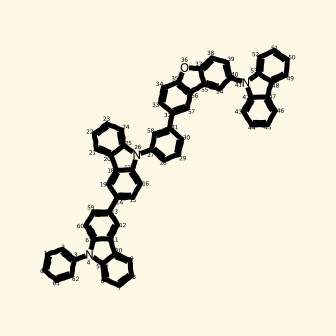 c1ccc(-n2c3ccccc3c3cc(-c4ccc5c(c4)c4ccccc4n5-c4cccc(-c5ccc6oc7ccc(-n8c9ccccc9c9ccccc98)cc7c6c5)c4)ccc32)cc1